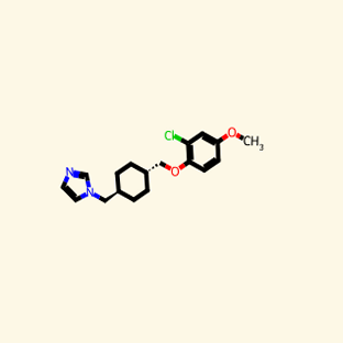 COc1ccc(OC[C@H]2CC[C@H](Cn3ccnc3)CC2)c(Cl)c1